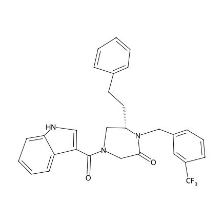 O=C(c1c[nH]c2ccccc12)N1CC(=O)N(Cc2cccc(C(F)(F)F)c2)[C@@H](CCc2ccccc2)C1